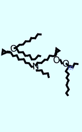 CC/C=C(/CCCCCCCC)OCCOC(CCCCCN(CCCCC)CCCCCCCC(OC(CCCCCCCC)CCCCCCCC)=C1CC1)=C1CC1